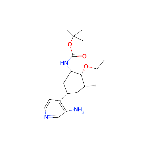 CCO[C@@H]1[C@H](C)C[C@H](c2ccncc2N)C[C@@H]1NC(=O)OC(C)(C)C